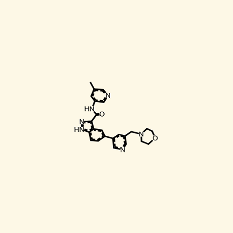 Cc1cncc(NC(=O)c2n[nH]c3ccc(-c4cncc(CN5CCOCC5)c4)cc23)c1